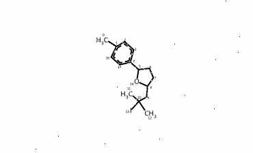 Cc1ccc(C2CCC(CC(C)(C)I)O2)cc1